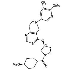 COc1ncc(N2CCc3ncnc(O[C@H]4CCN(C(=O)[C@H]5CC[C@H](OC)CC5)C4)c3C2)cc1C(F)(F)F